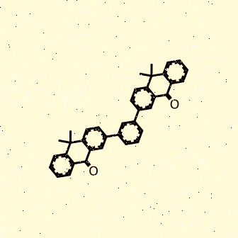 CC1(C)c2ccccc2C(=O)c2cc(-c3cccc(-c4ccc5c(c4)C(=O)c4ccccc4C5(C)C)c3)ccc21